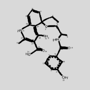 CCC1(OCC(C)NC(=O)c2cccc(O)c2)C=CC=C2NC(C)=C(C(=O)O)C(N)=C21